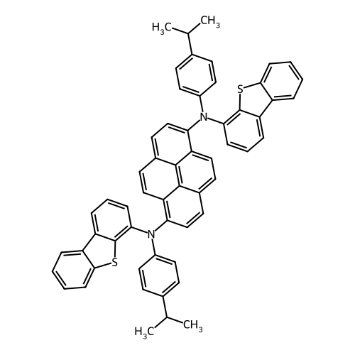 CC(C)c1ccc(N(c2ccc3ccc4c(N(c5ccc(C(C)C)cc5)c5cccc6c5sc5ccccc56)ccc5ccc2c3c54)c2cccc3c2sc2ccccc23)cc1